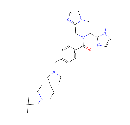 Cn1ccnc1CN(Cc1nccn1C)C(=O)c1ccc(CN2CCC3(CCN(CC(C)(C)C)CC3)C2)cc1